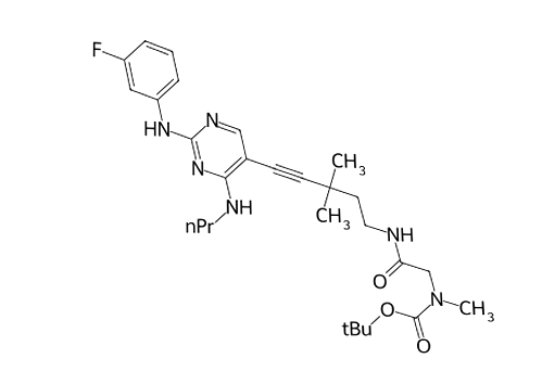 CCCNc1nc(Nc2cccc(F)c2)ncc1C#CC(C)(C)CCNC(=O)CN(C)C(=O)OC(C)(C)C